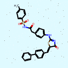 Cc1ccc(S(=O)(=O)NC(=O)Cc2ccc(NC3=NC(=O)C(=Cc4ccc(-c5ccccc5)cc4)S3)cc2)cc1